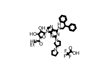 CCNC(=O)[C@H]1O[C@@H](n2cnc3c(NCC(c4ccccc4)c4ccccc4)nc(N4CC[C@@H](N5CCCC5)C4)nc32)[C@H](O)[C@@H]1O.O=C(O)C(F)(F)F